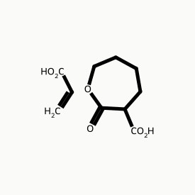 C=CC(=O)O.O=C(O)C1CCCCOC1=O